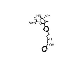 CCC[C@H](C(=N)OC(=O)NC)N(C)C(=O)c1ccc(CCNC[C@H](O)c2ccccc2)cc1